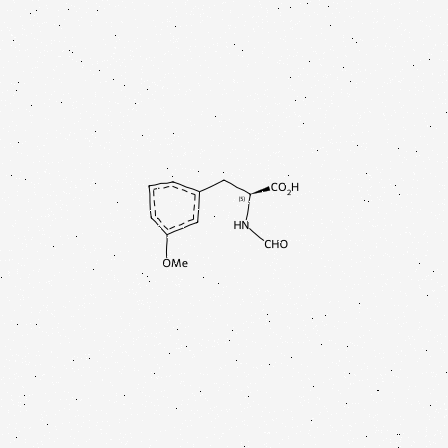 COc1cccc(C[C@H](NC=O)C(=O)O)c1